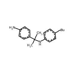 CCC(C)c1ccc(NC(C)(C)c2ccc(N)cc2)cc1